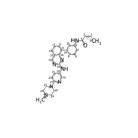 C/C=C\C(=O)Nc1cccc(-c2cccc3cnc(Nc4ccc(N5CCN(C)CC5)nc4)nc23)c1